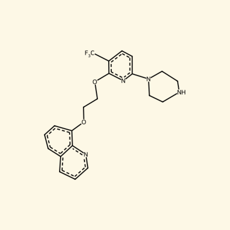 FC(F)(F)c1ccc(N2CCNCC2)nc1OCCOc1cccc2cccnc12